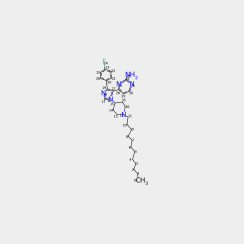 CCCCCCCCCCCCN1CCC(n2cnc(-c3ccc(F)cc3)c2-c2ccnc(N)n2)CC1